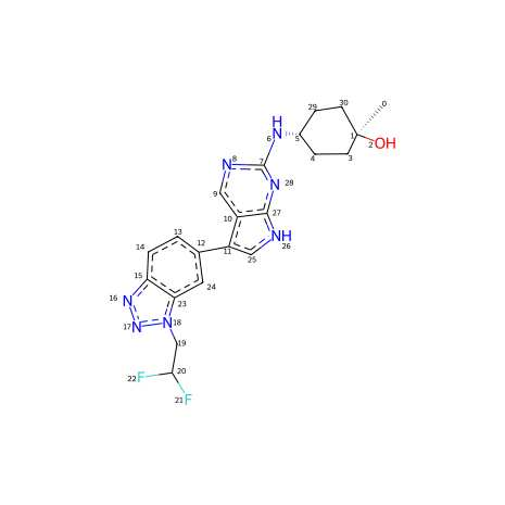 C[C@]1(O)CC[C@H](Nc2ncc3c(-c4ccc5nnn(CC(F)F)c5c4)c[nH]c3n2)CC1